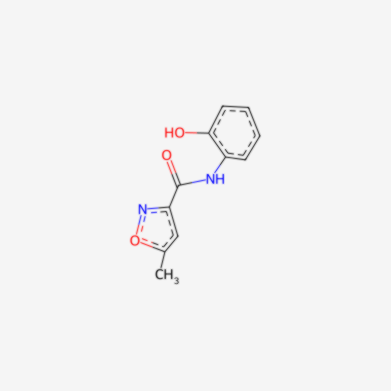 Cc1cc(C(=O)Nc2ccccc2O)no1